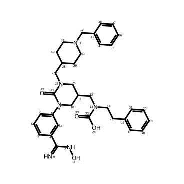 N=C(NO)c1cccc(N2CC(CN(CCc3ccccc3)C(=O)O)CN(CC3CCN(Cc4ccccc4)CC3)C2=O)c1